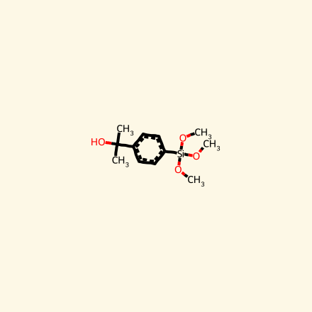 CO[Si](OC)(OC)c1ccc(C(C)(C)O)cc1